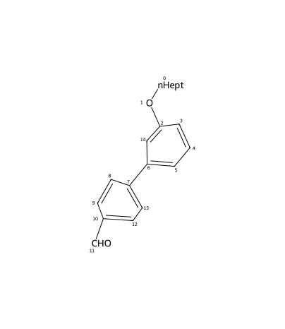 CCCCCCCOc1cccc(-c2ccc(C=O)cc2)c1